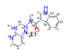 CCNc1cccnc1N(C)CCN(C)C(=O)c1c[nH]c2ccccc12